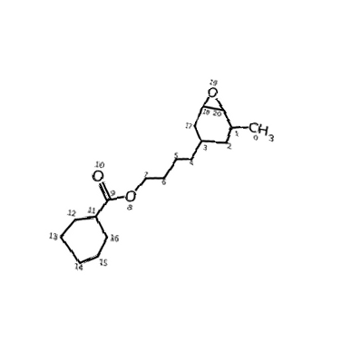 CC1CC(CCCCOC(=O)C2CCCCC2)CC2OC12